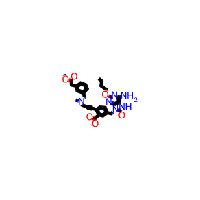 CCCCOc1nc(N)c2[nH]c(=O)n(Cc3ccc(C#CCN(C)Cc4cccc(CC(=O)OC)c4)c(C(=O)OC)c3)c2n1